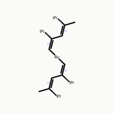 C/C(=C/C(=[CH]\[Ru]/[CH]=C(\C=C(\C)C(C)C)C(C)C)C(C)C)C(C)C